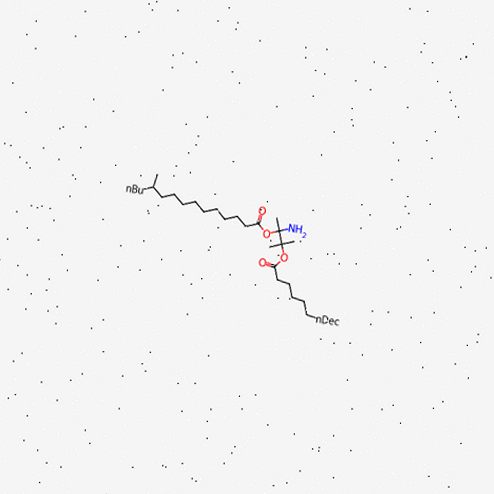 CCCCCCCCCCCCCCCC(=O)OC(C)(C)C(C)(N)OC(=O)CCCCCCCCCC(C)CCCC